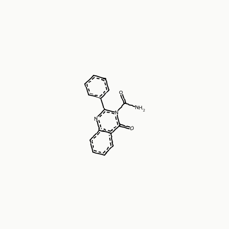 NC(=O)n1c(-c2ccccc2)nc2ccccc2c1=O